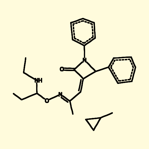 CC1CC1.CCNC(CC)ON=C(C)C=C1C(=O)N(c2ccccc2)C1c1ccccc1